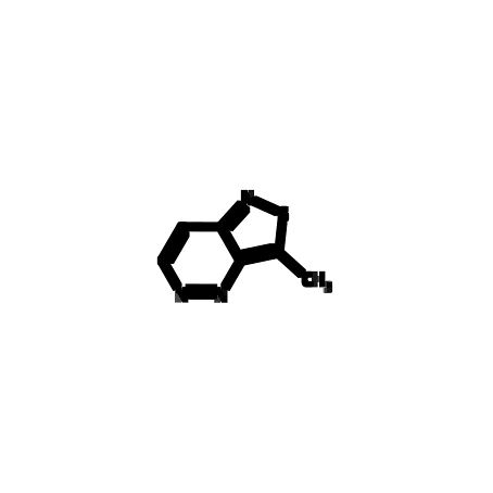 Cc1snc2ccnnc12